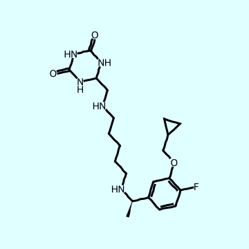 C[C@@H](NCCCCCNCC1NC(=O)NC(=O)N1)c1ccc(F)c(OCC2CC2)c1